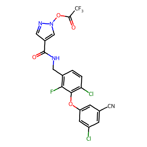 N#Cc1cc(Cl)cc(Oc2c(Cl)ccc(CNC(=O)c3cnn(OC(=O)C(F)(F)F)c3)c2F)c1